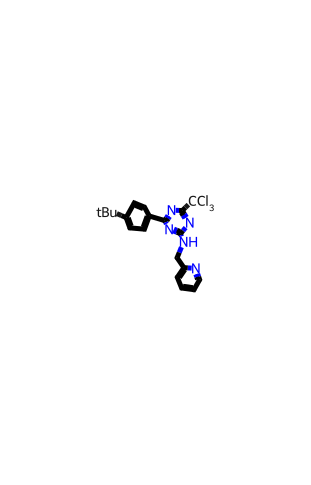 CC(C)(C)c1ccc(-c2nc(NCc3ccccn3)nc(C(Cl)(Cl)Cl)n2)cc1